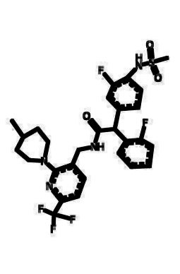 CC1CCN(c2nc(C(F)(F)F)ccc2CNC(=O)C(c2ccc(NS(C)(=O)=O)c(F)c2)c2ccccc2F)CC1